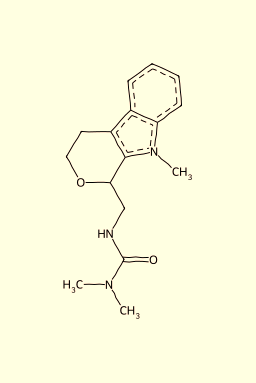 CN(C)C(=O)NCC1OCCc2c1n(C)c1ccccc21